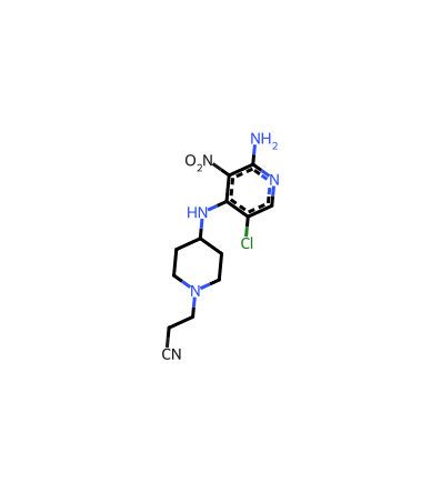 N#CCCN1CCC(Nc2c(Cl)cnc(N)c2[N+](=O)[O-])CC1